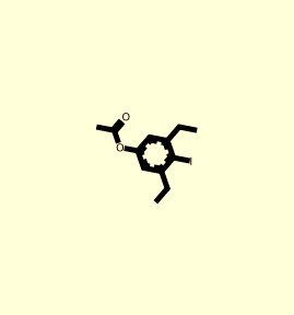 CCc1cc(OC(C)=O)cc(CC)c1I